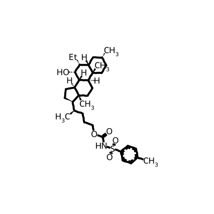 CC[C@H]1[C@@H](O)[C@@H]2[C@H](CC[C@]3(C)[C@@H]([C@H](C)CCCOC(=O)NS(=O)(=O)c4ccc(C)cc4)CC[C@@H]23)[C@@]2(C)CC[C@@H](C)C[C@@H]12